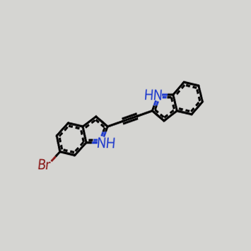 Brc1ccc2cc(C#Cc3cc4ccccc4[nH]3)[nH]c2c1